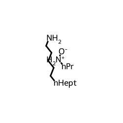 CCCCCCCCCCCCN.CCC[NH2+][O-]